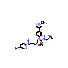 CCC[C@H](CCCNc1ccc(C#N)cn1)CN(C(=O)NCc1nccs1)c1ccc(-c2cnn(C)c2)cc1